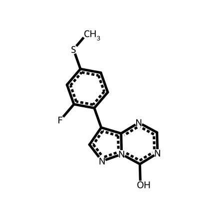 CSc1ccc(-c2cnn3c(O)ncnc23)c(F)c1